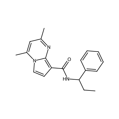 CCC(NC(=O)c1ccn2c(C)cc(C)nc12)c1ccccc1